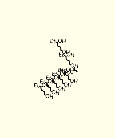 C=C(C)C(=O)O.CCC(O)CCCO.CCC(O)CCCO.CCC(O)CCCO.CCC(O)CCCO.CCC(O)CCCO.CCC(O)CCCO.CCC(O)CCCO